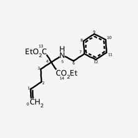 C=CCCC(NCc1ccccc1)(C(=O)OCC)C(=O)OCC